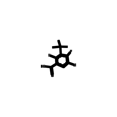 CC(C)(C)c1c(F)c(Cl)cc(C(=O)O)c1F